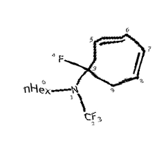 CCCCCCN(C(F)(F)F)C1(F)C=CC=CC1